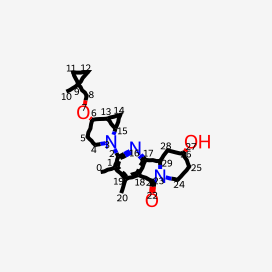 Cc1c(N2CCC(OCC3(C)CC3)C3CC32)nc2c(c1C)C(=O)N1CCC(O)CC21